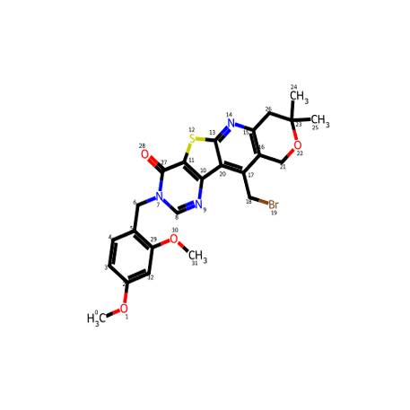 COc1ccc(Cn2cnc3c(sc4nc5c(c(CBr)c43)COC(C)(C)C5)c2=O)c(OC)c1